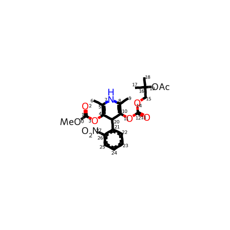 COC(=O)OC1=C(C)NC(C)=C(OC(=O)OCC(C)(C)OC(C)=O)C1c1ccccc1[N+](=O)[O-]